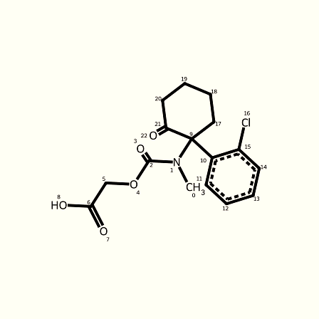 CN(C(=O)OCC(=O)O)C1(c2ccccc2Cl)CCCCC1=O